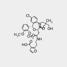 COc1cccc([C@H]2O[C@H](CC(=O)NCCc3occc3C(=O)O)C(=O)N(CC(C)(C)CO)c3ccc(Cl)cc32)c1OC